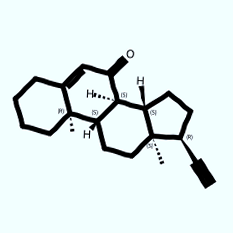 C#C[C@@H]1CC[C@H]2[C@@H]3C(=O)C=C4CCCC[C@]4(C)[C@H]3CC[C@]12C